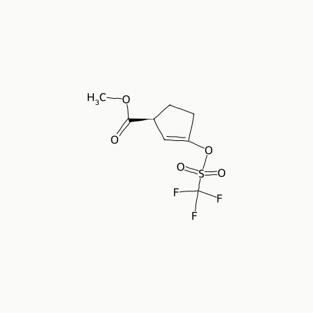 COC(=O)[C@@H]1C=C(OS(=O)(=O)C(F)(F)F)CC1